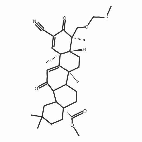 COCOC[C@]1(C)C(=O)C(C#N)=C[C@]2(C)C3=CC(=O)C4C5CC(C)(C)CC[C@]5(C(=O)OC)CCC4[C@]3(C)CC[C@H]21